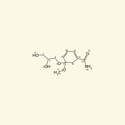 COC1(OCC(O)CO)C=CC=C(C(N)=O)C1